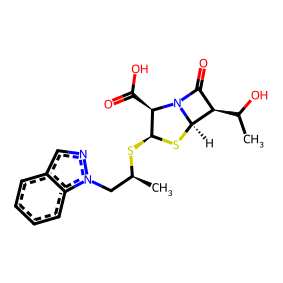 CC(O)[C@@H]1C(=O)N2[C@@H]1S[C@@H](S[C@@H](C)Cn1ncc3ccccc31)[C@H]2C(=O)O